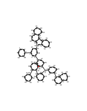 c1ccc(-c2cc(-c3ccc(N(c4cccc(-c5cccc6ccccc56)c4)c4ccccc4-c4ccccc4-c4ccccc4)cc3)cc(-n3c4ccccc4c4c5ccccc5ccc43)c2)cc1